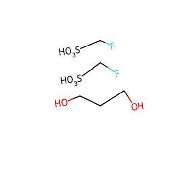 O=S(=O)(O)CF.O=S(=O)(O)CF.OCCCO